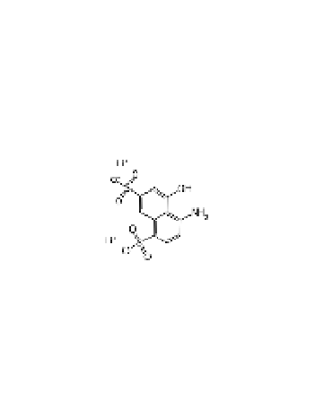 Nc1ccc(S(=O)(=O)[O-])c2cc(S(=O)(=O)[O-])cc(O)c12.[Li+].[Li+]